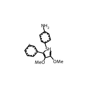 COC1=C[SH](c2ccc(N)cc2)C(c2c[c]ccc2)=C1OC